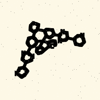 c1cncc(-c2cnc(-c3ccc4c(c3)C3(c5cc(-c6ncc(-c7cccnc7)cn6)ccc5-c5ccccc5-4)c4ccccc4-c4ccccc43)nc2)c1